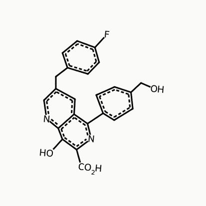 O=C(O)c1nc(-c2ccc(CO)cc2)c2cc(Cc3ccc(F)cc3)cnc2c1O